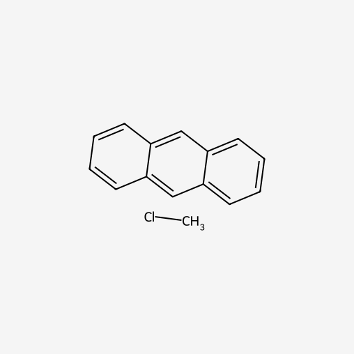 CCl.c1ccc2cc3ccccc3cc2c1